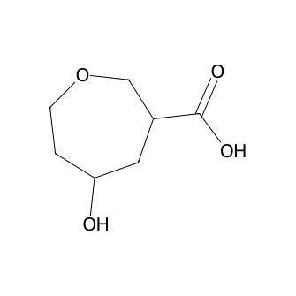 O=C(O)C1COCCC(O)C1